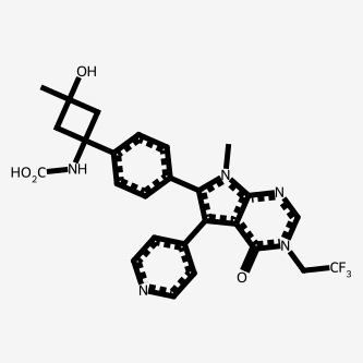 Cn1c(-c2ccc(C3(NC(=O)O)CC(C)(O)C3)cc2)c(-c2ccncc2)c2c(=O)n(CC(F)(F)F)cnc21